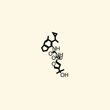 Cc1cc2c(c(NC(=O)NS(=O)(=O)c3cc(C(C)(C)O)co3)c1C(C)C1CC1)CCC2